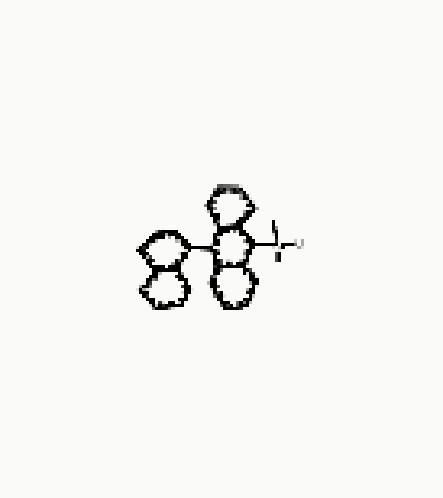 C[Si](C)(Cl)c1c2ccccc2c(-c2cccc3ccccc23)c2ccccc12